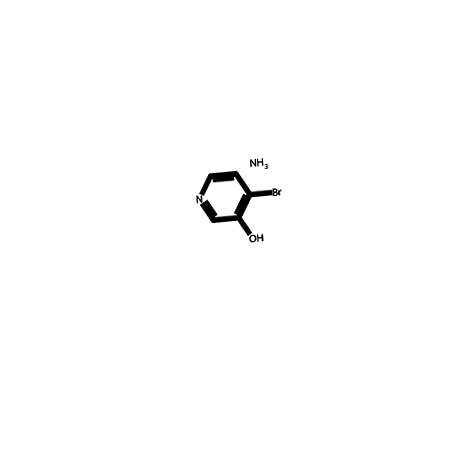 N.Oc1cnccc1Br